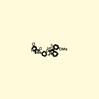 COc1ccc(F)c(C2(O)C(=O)N(C[C@H]3CC[C@H](NC(=O)c4cc(Cl)cnc4C)CC3)c3ccccc32)c1